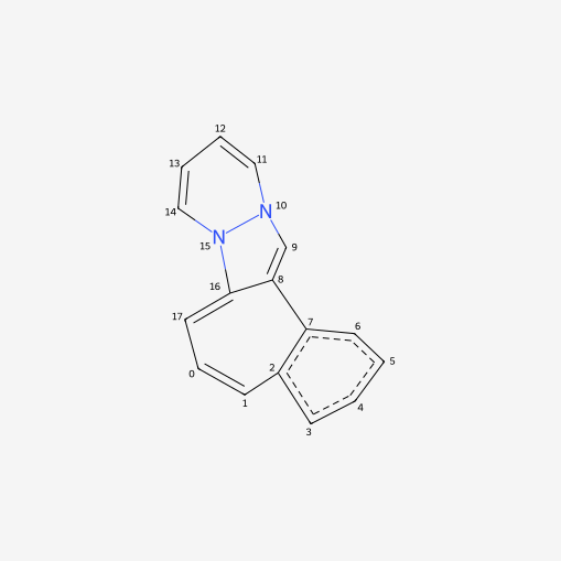 C1=Cc2ccccc2C2=CN3C=CC=CN3C2=C1